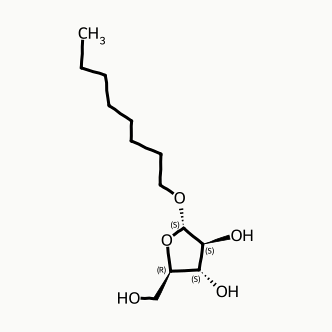 CCCCCCCCO[C@H]1O[C@H](CO)[C@@H](O)[C@@H]1O